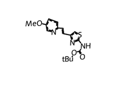 COc1ccc(C=Cc2csc(NC(=O)OC(C)(C)C)n2)nc1